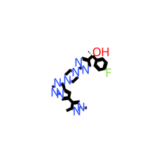 Cc1nn(C)cc1-c1cc2c(N3CCN(c4ncc([C@@](C)(O)c5ccc(F)cc5)cn4)CC3)ncnn2c1